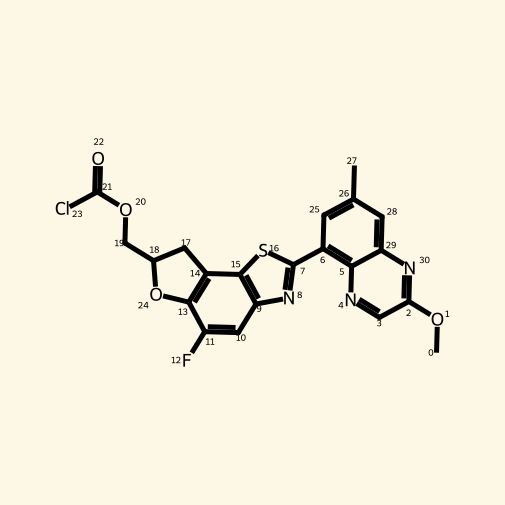 COc1cnc2c(-c3nc4cc(F)c5c(c4s3)CC(COC(=O)Cl)O5)cc(C)cc2n1